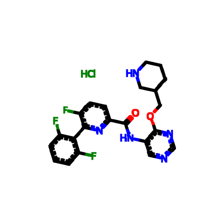 Cl.O=C(Nc1cncnc1OCC1CCCNC1)c1ccc(F)c(-c2c(F)cccc2F)n1